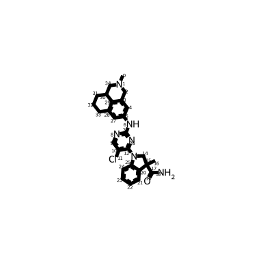 CN1Cc2cc(Nc3ncc(Cl)c(N4CC(C)(C(N)=O)c5ccccc54)n3)cc3c2C(CCC3)C1